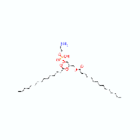 CCCCCCCCCCCCCCC(=O)OC[C@H](COP(=O)(O)OCCN)OC(=O)CCCCCCCCCCCCCC